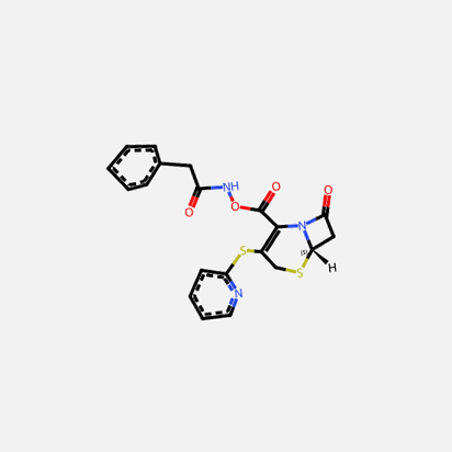 O=C(Cc1ccccc1)NOC(=O)C1=C(Sc2ccccn2)CS[C@H]2CC(=O)N12